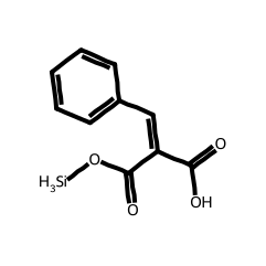 O=C(O)C(=Cc1ccccc1)C(=O)O[SiH3]